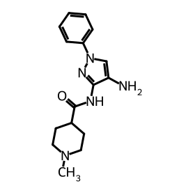 CN1CCC(C(=O)Nc2nn(-c3ccccc3)cc2N)CC1